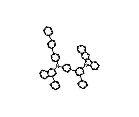 c1ccc(-c2ccc(-c3ccc(N(c4ccc(-c5cc(-c6ccccc6)cc(-n6c7ccccc7c7cc8ccccc8cc76)c5)cc4)c4cc(-c5ccccc5)c5ccccc5c4)cc3)cc2)cc1